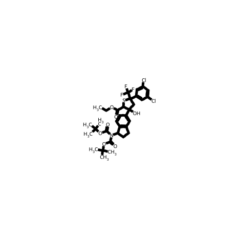 CCOC(=O)C1SC(c2cc(Cl)cc(Cl)c2)(C(F)(F)F)CC1(O)c1ccc2c(c1)CCC2N(C(=O)OC(C)(C)C)C(=O)OC(C)(C)C